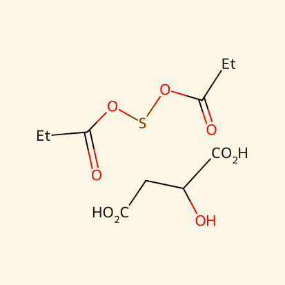 CCC(=O)OSOC(=O)CC.O=C(O)CC(O)C(=O)O